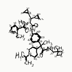 C=C(C)N1CCC(C(C)(C(=O)NCC2(C)CCC2)c2ccc(NC(=O)[C@@H](NC(=O)c3ccnn3C)C(C3CC3)C3CC3)cc2)CC1